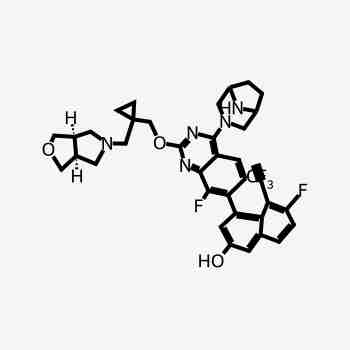 C#Cc1c(F)ccc2cc(O)cc(-c3c(C(F)(F)F)cc4c(N5CC6CCC(C5)N6)nc(OCC5(CN6C[C@H]7COC[C@H]7C6)CC5)nc4c3F)c12